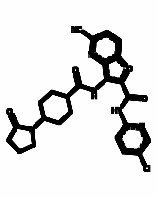 N#Cc1ccc2oc(C(=O)Nc3ccc(Cl)cn3)c(NC(=O)C3CCC(N4CCCC4=O)CC3)c2n1